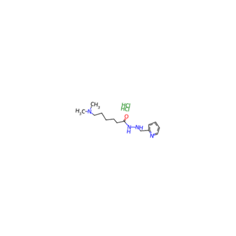 CN(C)CCCCCC(=O)NNCc1ccccn1.Cl.Cl